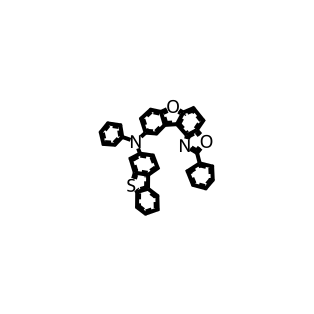 c1ccc(-c2nc3c(ccc4oc5ccc(N(c6ccccc6)c6ccc7c(c6)sc6ccccc67)cc5c43)o2)cc1